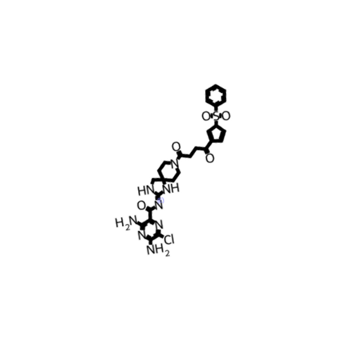 Nc1nc(N)c(C(=O)/N=C2\NCC3(CCN(C(=O)CCC(=O)C4=CC(S(=O)(=O)c5ccccc5)C=C4)CC3)N2)nc1Cl